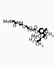 CNCC(=O)NCCOCCONC(=O)OC1CC[C@]2(CO2)C(C2(C)O[C@@H]2CC=C(C)C)C1OC